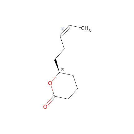 C/C=C\CC[C@H]1CCCC(=O)O1